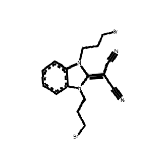 N#CC(C#N)=C1N(CCCBr)c2ccccc2N1CCCBr